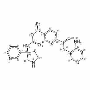 CC[C@H](OC(=O)N[C@@]1(c2cccnc2)CCNC1)c1ccc(C(=O)Nc2ccccc2N)cc1